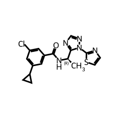 C[C@@H](NC(=O)c1cc(Cl)cc(C2CC2)c1)c1ncnn1-c1nccs1